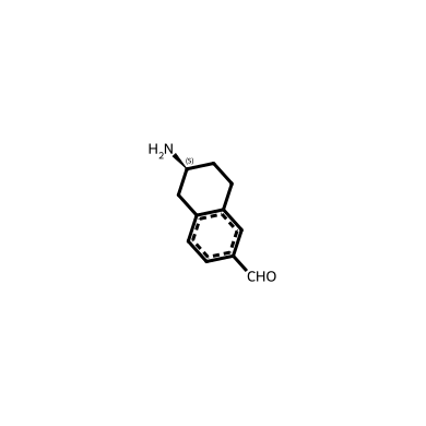 N[C@H]1CCc2cc(C=O)ccc2C1